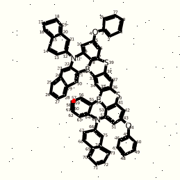 c1ccc(Oc2cc3c4c(c2)N(c2ccc5ccccc5c2)c2cc5ccccc5cc2B4c2cc4c(cc2S3)Sc2cc(Oc3ccccc3)cc3c2B4c2cc4ccccc4cc2N3c2ccc3ccccc3c2)cc1